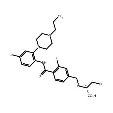 O=C(Nc1ccc(Cl)cc1N1CCN(CCC(F)(F)F)CC1)c1ccc(CN[C@H](CO)C(=O)O)cc1F